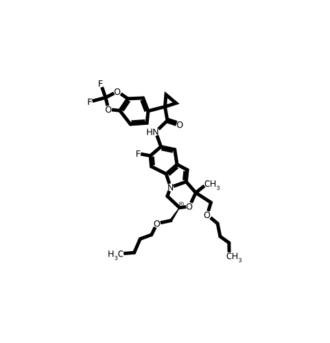 CCCCOC[C@H]1Cn2c(cc3cc(NC(=O)C4(c5ccc6c(c5)OC(F)(F)O6)CC4)c(F)cc32)C(C)(COCCCC)O1